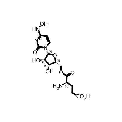 N[C@H](CCC(=O)O)C(=O)OC[C@H]1O[C@@H](n2ccc(NO)nc2=O)[C@H](O)[C@@H]1O